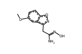 COc1ccc2onc(CC(N)=NO)c2c1